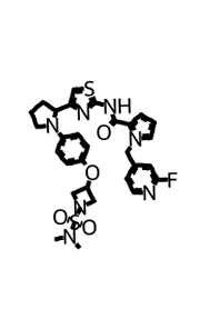 CN(C)S(=O)(=O)N1CC(Oc2ccc(N3CCCC3c3csc(NC(=O)c4cccn4Cc4ccnc(F)c4)n3)cc2)C1